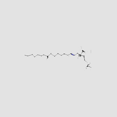 CCCCCCCC(=O)CCCCCC/C=C/C[C@@](O)(CCOC(C)=O)C(=O)O